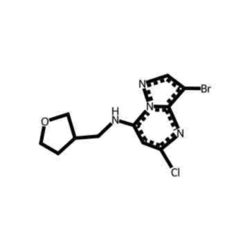 Clc1cc(NCC2CCOC2)n2ncc(Br)c2n1